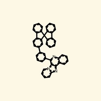 c1cc(-c2ccc3c(c2)C2(c4ccccc4-c4ccccc42)c2ccccc2-3)cc(-c2nc3ccccc3c3nc4ccccn4c23)c1